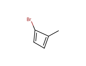 CC1=CC=C1Br